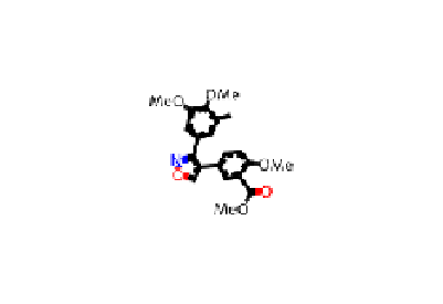 COC(=O)c1cc(-c2conc2-c2cc(C)c(OC)c(OC)c2)ccc1OC